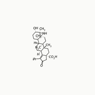 CC(C)C1=C2[C@H]3CC[C@@H]4[C@@]5(C)CC[C@H](O)[C@@]6(C)N[C@@]56CC[C@@]4(C)[C@]3(C)CC[C@@]2(C(=O)O)CC1=O